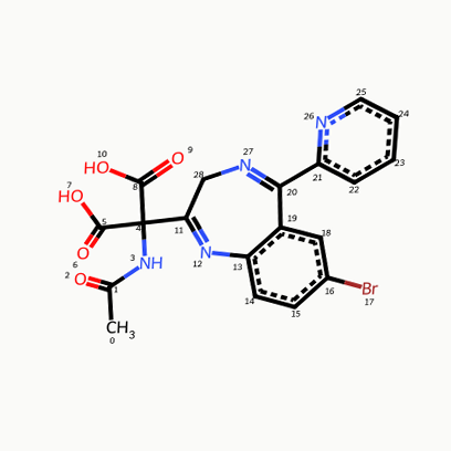 CC(=O)NC(C(=O)O)(C(=O)O)C1=Nc2ccc(Br)cc2C(c2ccccn2)=NC1